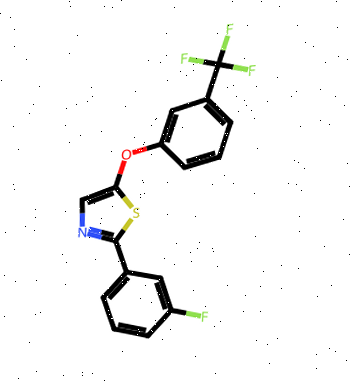 Fc1cccc(-c2ncc(Oc3cccc(C(F)(F)F)c3)s2)c1